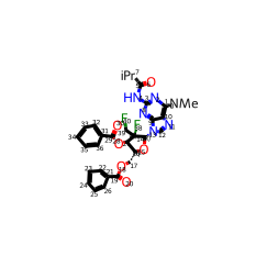 CNc1nc(NC(=O)C(C)C)nc2c1ncn2[C@@H]1O[C@H](COC(=O)c2ccccc2)C(OC(=O)c2ccccc2)[C@]1(F)CF